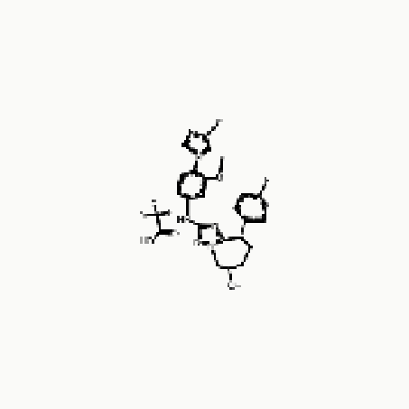 COc1cc(Nc2nc3n(n2)C[C@H](O)CC[C@@H]3c2ccc(F)cc2)ccc1-n1cnc(Cl)c1.O=C(O)C(F)(F)F